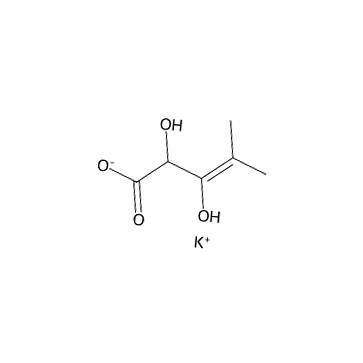 CC(C)=C(O)C(O)C(=O)[O-].[K+]